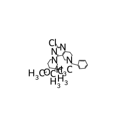 COC1CCN(c2nc(Cl)nc3c2CN([C@@H](C)c2ccccc2)CC3)CC1(C)C